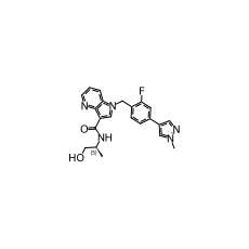 C[C@@H](CO)NC(=O)c1cn(Cc2ccc(-c3cnn(C)c3)cc2F)c2cccnc12